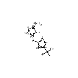 CC(F)(F)c1coc(Cn2ncc(N)n2)n1